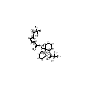 O=C(NCC1([N+]2(OC(=O)C(F)(F)F)CCCCC2)CCCCC1)c1ccc(C(=O)C(F)(F)F)s1